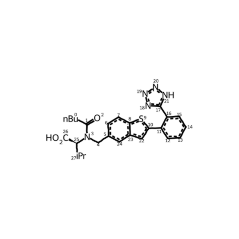 CCCCC(=O)N(Cc1ccc2sc(-c3ccccc3-c3nnn[nH]3)cc2c1)[C@H](C(=O)O)C(C)C